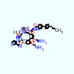 CCCCc1ccc(-c2ccc(C(=O)NCC(=O)N(C)[C@@H]3C(=O)N[C@@H](C)C(=O)N[C@H](C(=O)Nc4ccncc4C#N)Cc4ccc(OCCN)c(c4)-c4cc3ccc4OCCN)cc2)cc1